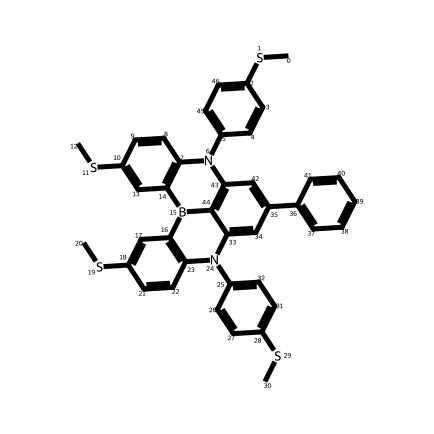 CSc1ccc(N2c3ccc(SC)cc3B3c4cc(SC)ccc4N(c4ccc(SC)cc4)c4cc(-c5ccccc5)cc2c43)cc1